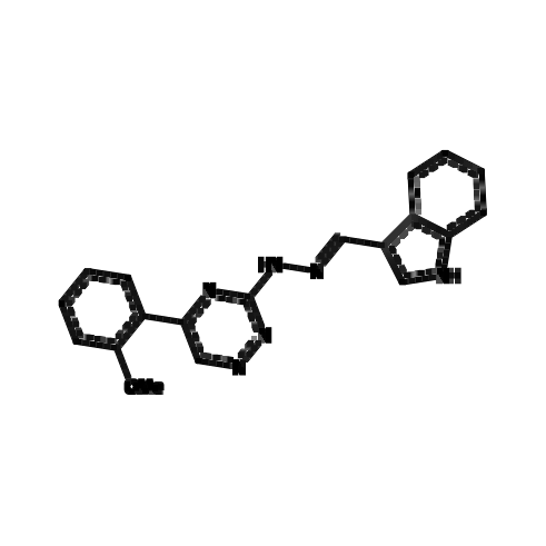 COc1ccccc1-c1cnnc(NN=Cc2c[nH]c3ccccc23)n1